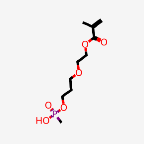 C=C(C)C(=O)OCCOCCCOP(C)(=O)O